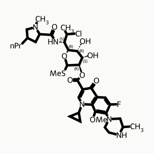 CCCC1CC(C(=O)N[C@H](C(C)Cl)[C@H]2OC(SC)[C@H](OC(=O)c3cn(C4CC4)c4c(OC)c(N5CCNC(C)C5)c(F)cc4c3=O)[C@@H](O)[C@H]2O)N(C)C1